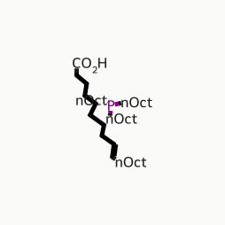 CCCCCCCCC=CCCCCCCCC(=O)O.CCCCCCCCP(CCCCCCCC)CCCCCCCC